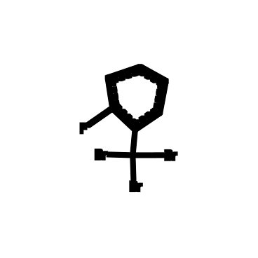 Fc1ccccc1C(Br)(Br)Br